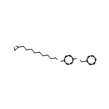 c1ccc(COc2ccc(OCCCCCCCCCC3CO3)cc2)cc1